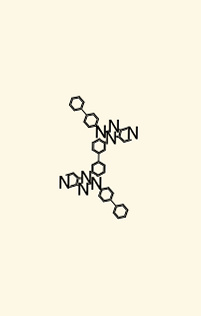 c1ccc(-c2ccc(-n3c4ccc(-c5ccc6c(c5)n5c7ccncc7nc5n6-c5ccc(-c6ccccc6)cc5)cc4n4c5ccncc5nc34)cc2)cc1